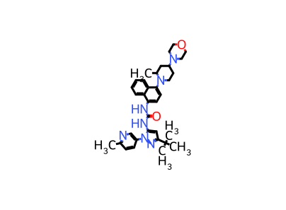 Cc1ccc(-n2nc(C(C)(C)C)cc2NC(=O)Nc2ccc(N3CCC(N4CCOCC4)CC3C)c3ccccc23)cn1